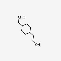 O=CCC1CCC(CCO)CC1